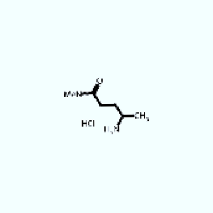 CNC(=O)CCC(C)N.Cl